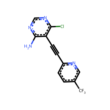 Nc1ncnc(Cl)c1C#Cc1ccc(C(F)(F)F)cn1